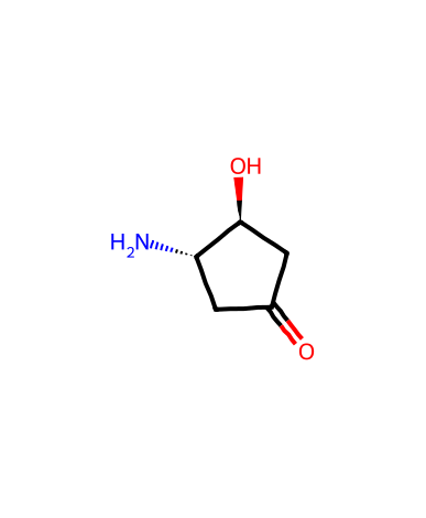 N[C@H]1CC(=O)C[C@@H]1O